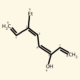 C=C/C(=C\C=C(\O)C=C)CC